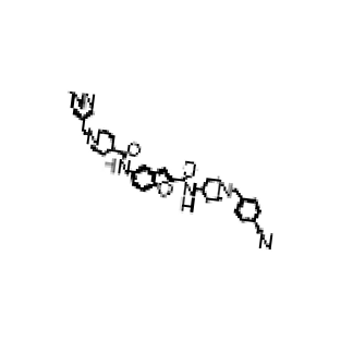 Cn1cc(CN2CCC(C(=O)Nc3ccc4oc(C(=O)NC5CCN(Cc6ccc(C#N)cc6)CC5)cc4c3)CC2)cn1